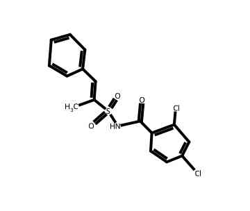 C/C(=C\c1ccccc1)S(=O)(=O)NC(=O)c1ccc(Cl)cc1Cl